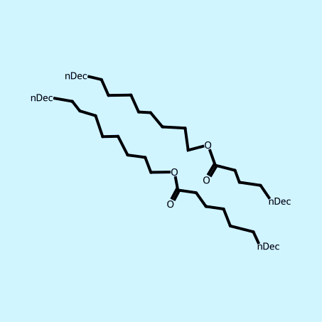 CCCCCCCCCCCCCCCCCCOC(=O)CCCCCCCCCCCCC.CCCCCCCCCCCCCCCCCCOC(=O)CCCCCCCCCCCCCCC